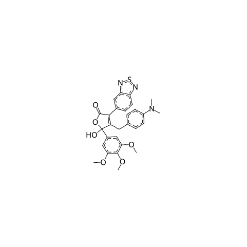 COc1cc(C2(O)OC(=O)C(c3ccc4nsnc4c3)=C2Cc2ccc(N(C)C)cc2)cc(OC)c1OC